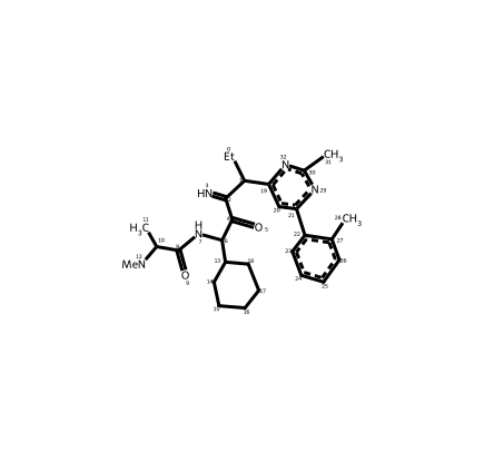 CCC(C(=N)C(=O)C(NC(=O)C(C)NC)C1CCCCC1)c1cc(-c2ccccc2C)nc(C)n1